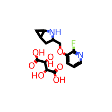 Fc1ncccc1OCC1CC2CC2N1.O=C(O)C(O)C(O)C(=O)O